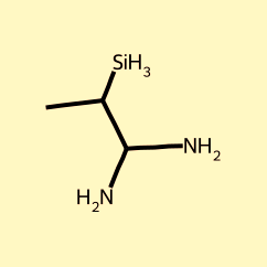 CC([SiH3])C(N)N